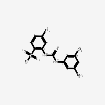 CCS(=O)(=O)c1ccc(C(F)(F)F)cc1NC(=O)Nc1cc([N+](=O)[O-])cc(C(F)(F)F)c1